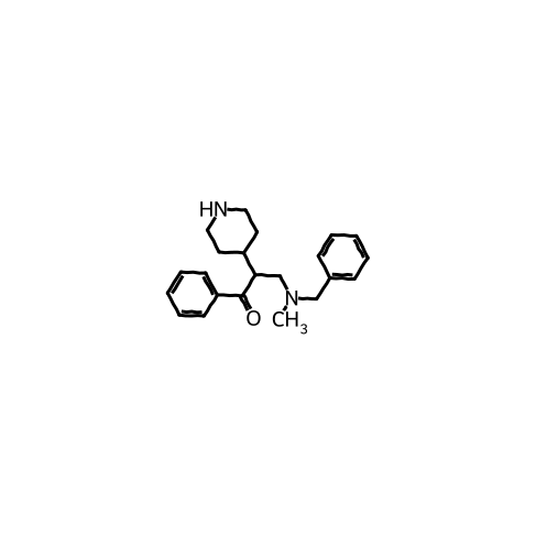 CN(Cc1ccccc1)CC(C(=O)c1ccccc1)C1CCNCC1